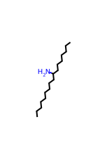 CCCCCCCCCC(N)CCCCCCC